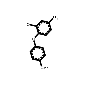 COc1ccc(Oc2ccc(C(F)(F)F)cc2Cl)cc1